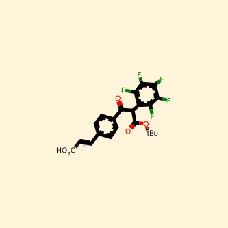 CC(C)(C)OC(=O)C(C(=O)c1ccc(/C=C/C(=O)O)cc1)c1c(F)c(F)c(F)c(F)c1F